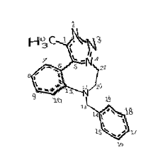 Cc1nnn2c1-c1ccccc1N(Cc1ccccc1)CC2